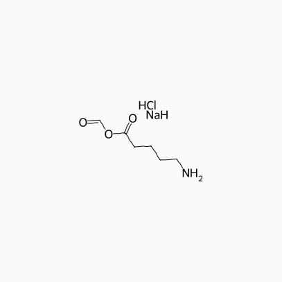 Cl.NCCCCC(=O)OC=O.[NaH]